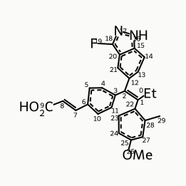 CC/C(=C(/c1ccc(/C=C/C(=O)O)cc1)c1ccc2[nH]nc(F)c2c1)c1ccc(OC)cc1C